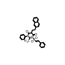 CCN(C(=O)C(CCc1ccc2ccccc2c1)C(=O)NS(=O)(=O)/C=C/c1ccccc1)c1ccccc1